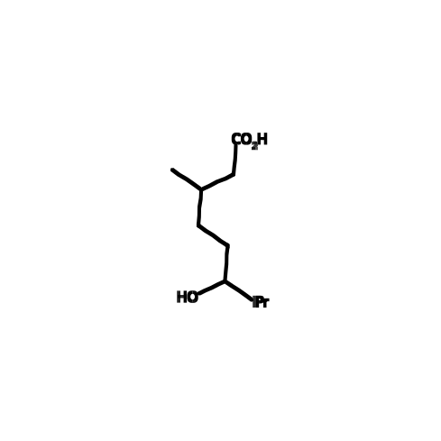 CC(CCC(O)C(C)C)CC(=O)O